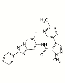 Cc1cnc(-c2cnn(C)c2C(=O)Nc2cc3nc(-c4ccccc4)nn3cc2F)cn1